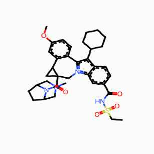 CCS(=O)(=O)NC(=O)c1ccc2c(C3CCCCC3)c3n(c2c1)CC1(C(=O)N2C4CCC2CN(C)C4)CC1c1cc(OC)ccc1-3